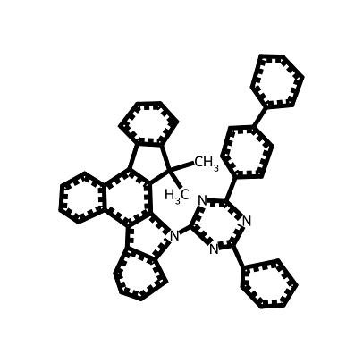 CC1(C)c2ccccc2-c2c1c1c(c3ccccc23)c2ccccc2n1-c1nc(-c2ccccc2)nc(-c2ccc(-c3ccccc3)cc2)n1